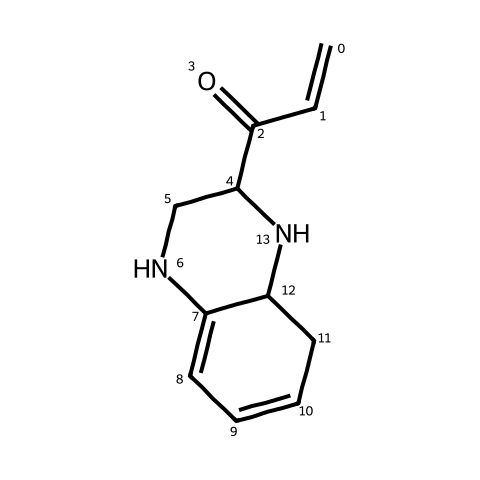 C=CC(=O)C1CNC2=CC=CCC2N1